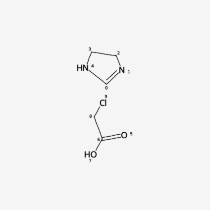 C1=NCCN1.O=C(O)CCl